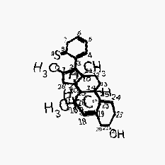 CC1=C(C2=CC=CCC2=S)[C@@]2(C)CC[C@H]3[C@@H]([C@@H](C)C=C4C[C@@H](O)CC[C@@]43C)[C@@H]2C1